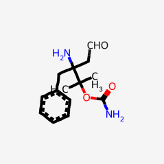 CC(C)(OC(N)=O)C(N)(CC=O)Cc1ccccc1